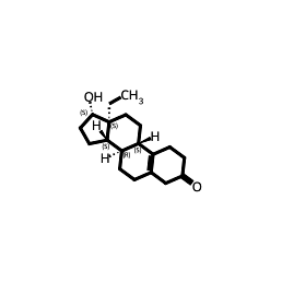 CC[C@]12CC[C@@H]3C4=C(CC[C@H]3[C@@H]1CC[C@@H]2O)CC(=O)CC4